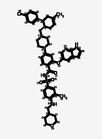 CC1=CC[C@@H](CN2CCN(c3ccc(C(=O)NS(=O)(=O)c4ccc(NCC5CCOCC5)c(C)c4)c(Oc4cnc5[nH]ccc5c4)c3)CC2)[C@@H](c2ccc(Cl)cc2)C1